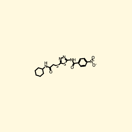 O=C(CSc1nnc(NC(=O)c2ccc([N+](=O)[O-])cc2)s1)NC1CCCCC1